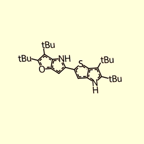 CC(C)(C)c1[nH]c2cc(-c3cc4oc(C(C)(C)C)c(C(C)(C)C)c4[nH]3)sc2c1C(C)(C)C